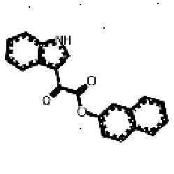 O=C(Oc1ccc2ccccc2c1)C(=O)c1c[nH]c2ccccc12